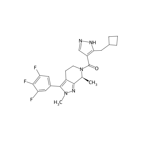 C[C@H]1c2nn(C)c(-c3cc(F)c(F)c(F)c3)c2CCN1C(=O)c1cn[nH]c1CC1CCC1